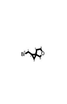 BrCC1CC12CCOC2